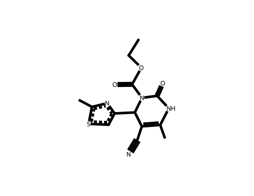 CCOC(=O)N1C(=O)NC(C)=C(C#N)C1c1csc(C)n1